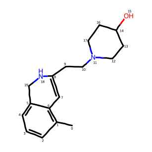 Cc1cccc2c1C=C(CCN1CCC(O)CC1)NC2